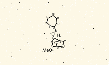 CO[C@@H]1C[C@H](OCC2CCCCCC2)[C@H]2COC1O2